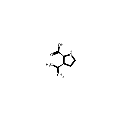 CC(C)[C@@H]1CCN[C@@H]1C(=O)O